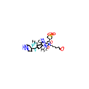 COc1nnc(N[C@H](C)c2cccc(C(F)(F)C3CCNCC3)c2F)c2cc(C3CCS(=O)(=O)CC3)c(=O)n(CCCCCCC=O)c12